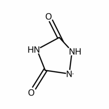 O=C1[N]NC(=O)N1